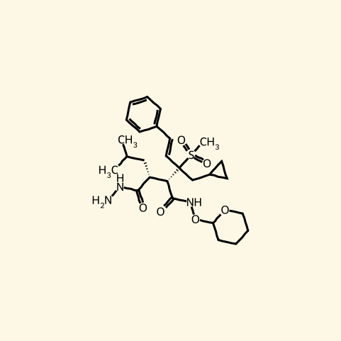 CC(C)C[C@@H](C(=O)NN)[C@@H](C(=O)NOC1CCCCO1)C(/C=C/c1ccccc1)(CC1CC1)S(C)(=O)=O